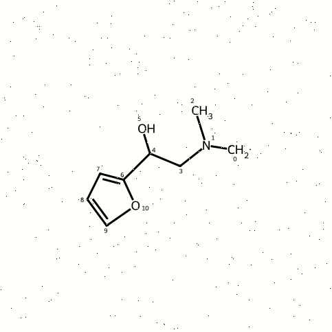 [CH2]N(C)CC(O)c1ccco1